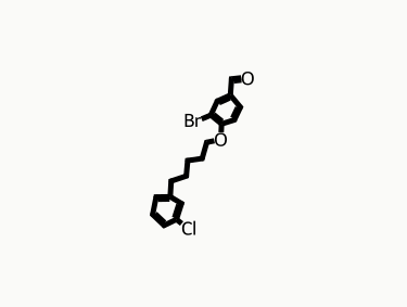 O=Cc1ccc(OCCCCCc2cccc(Cl)c2)c(Br)c1